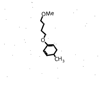 COCCCCOC1=CCC(C)C=C1